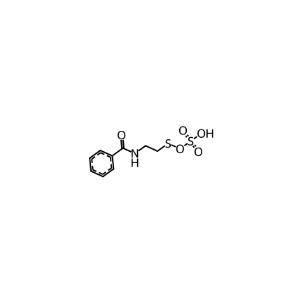 O=C(NCCSOS(=O)(=O)O)c1ccccc1